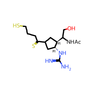 CC(=O)NC(CO)[C@@H]1CC(C(=S)CCCS)C[C@H]1NC(=N)N